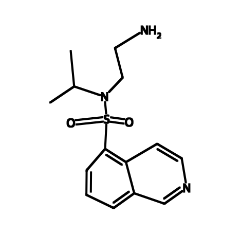 CC(C)N(CCN)S(=O)(=O)c1cccc2cnccc12